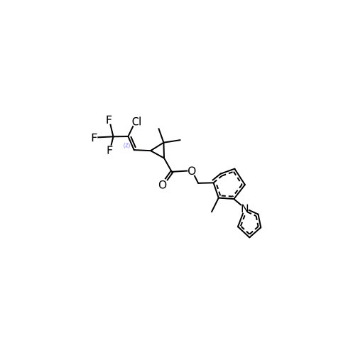 Cc1c(COC(=O)C2C(/C=C(\Cl)C(F)(F)F)C2(C)C)cccc1-n1cccc1